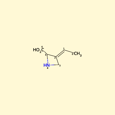 CC=C1CNC1C(=O)O